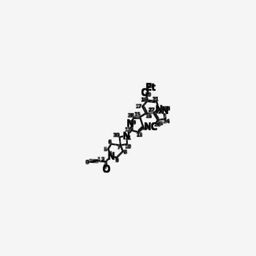 C#CC(=O)N1CCC2(CC1)CN(c1ccc(-c3cc(OCC)cn4ncc(C#N)c34)cn1)C2